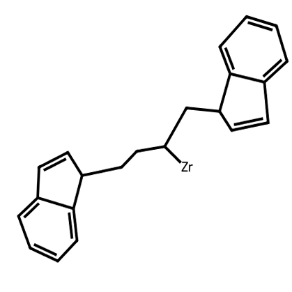 [Zr][CH](CCC1C=Cc2ccccc21)CC1C=Cc2ccccc21